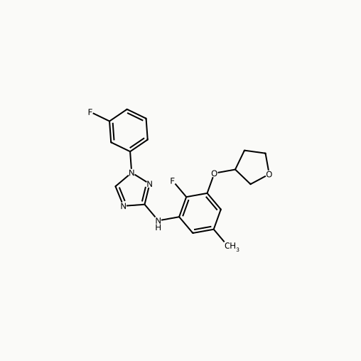 Cc1cc(Nc2ncn(-c3cccc(F)c3)n2)c(F)c(OC2CCOC2)c1